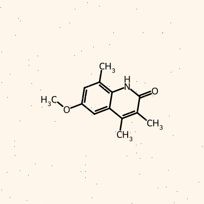 COc1cc(C)c2[nH]c(=O)c(C)c(C)c2c1